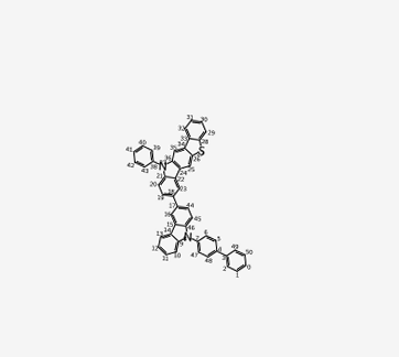 c1ccc(-c2ccc(-n3c4ccccc4c4cc(-c5ccc6c(c5)c5cc7sc8ccccc8c7cc5n6-c5ccccc5)ccc43)cc2)cc1